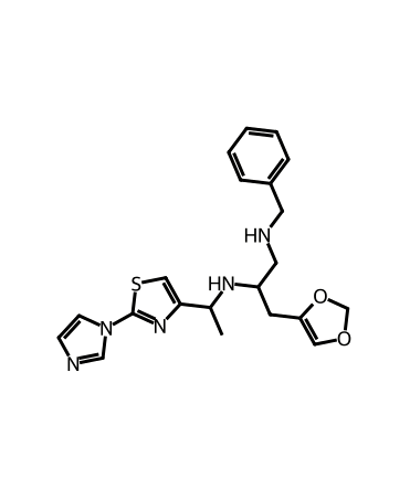 CC(NC(CNCc1ccccc1)CC1=COCO1)c1csc(-n2ccnc2)n1